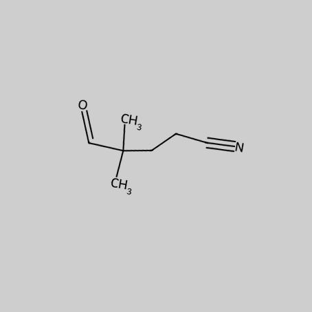 CC(C)(C=O)CCC#N